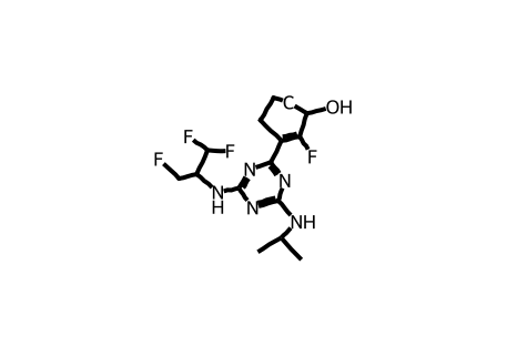 CC(C)Nc1nc(NC(CF)C(F)F)nc(C2=C(F)C(O)CCC2)n1